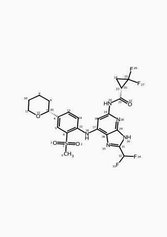 CS(=O)(=O)c1cc([C@H]2CCCCO2)ccc1Nc1cc(NC(=O)[C@@H]2CC2(F)F)nc2[nH]c(C(F)F)nc12